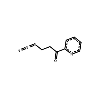 [N-]=[N+]=NCCC(=O)c1ccccn1